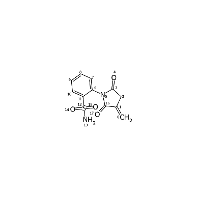 C=C1CC(=O)N(c2ccccc2S(N)(=O)=O)C1=O